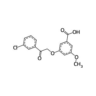 COc1cc(OCC(=O)c2cccc(Cl)c2)cc(C(=O)O)c1